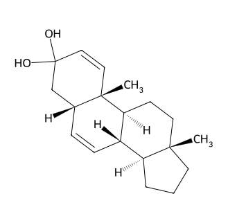 C[C@@]12CCC[C@H]1[C@@H]1C=C[C@@H]3CC(O)(O)C=C[C@]3(C)[C@H]1CC2